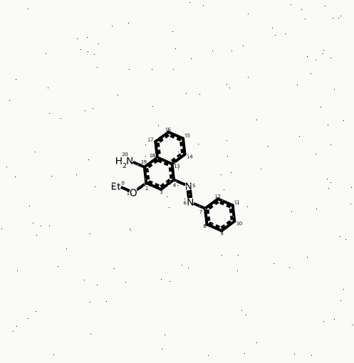 CCOc1cc(N=Nc2ccccc2)c2ccccc2c1N